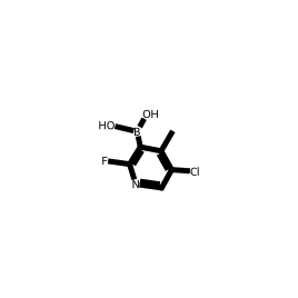 Cc1c(Cl)cnc(F)c1B(O)O